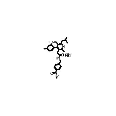 COC(=O)c1ccc(CNC(=O)Cc2c(C)nc(CC(C)C)c(CN)c2-c2ccc(C)cc2)cc1.Cl.Cl